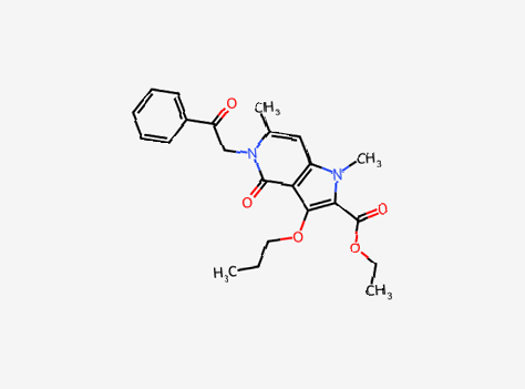 CCCOc1c(C(=O)OCC)n(C)c2cc(C)n(CC(=O)c3ccccc3)c(=O)c12